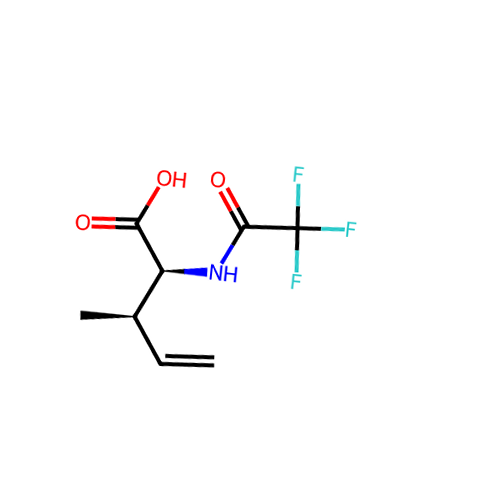 C=C[C@@H](C)[C@H](NC(=O)C(F)(F)F)C(=O)O